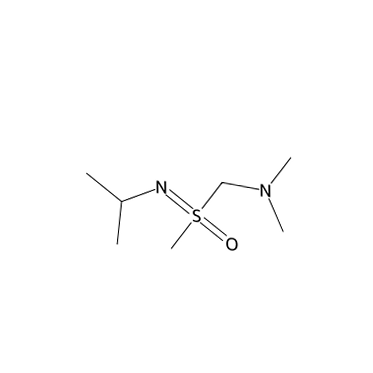 CC(C)N=S(C)(=O)CN(C)C